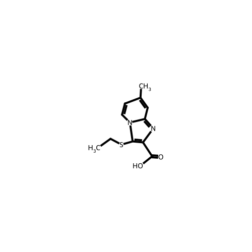 CCSc1c(C(=O)O)nc2cc(C)ccn12